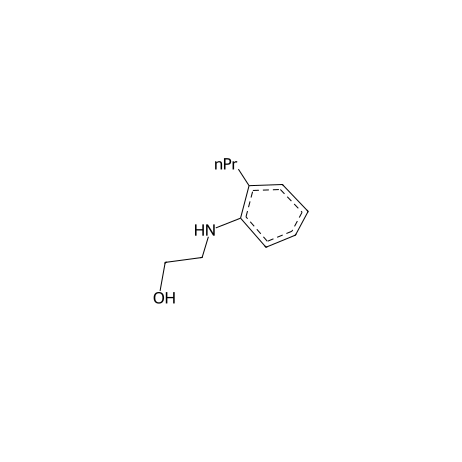 CCCc1ccccc1NCCO